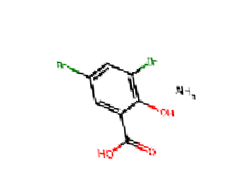 O=C(O)c1cc(Br)cc(Br)c1O.[AlH3]